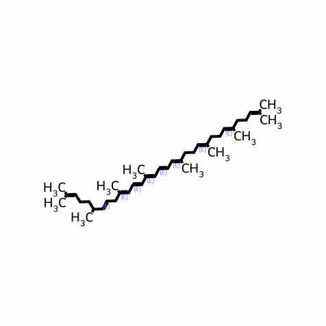 CC(C)=CCC/C(C)=C/CC/C(C)=C/CC/C(C)=C/C=C/C=C(C)/C=C/C=C(\C)C/C=C/C(C)CCC=C(C)C